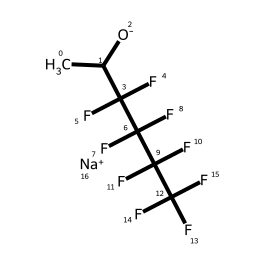 CC([O-])C(F)(F)C(F)(F)C(F)(F)C(F)(F)F.[Na+]